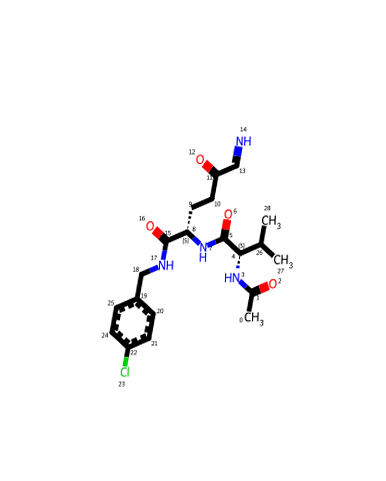 CC(=O)N[C@H](C(=O)N[C@@H](CCC(=O)C=N)C(=O)NCc1ccc(Cl)cc1)C(C)C